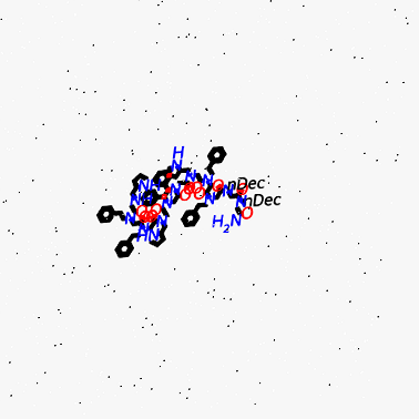 CCCCCCCCCCN(CC(N)=O)C(=O)CN(CCCCCCCCCC)C(=O)CN(CCc1ccccc1)C(=O)CN(CCc1ccccc1)C(=O)CN(CC1CCCN1)C(=O)CN(CCc1ccccc1)C(=O)CN(CCc1ccccc1)C(=O)CN(CC1CCCN1)C(=O)CN(CCc1ccccc1)C(=O)CN(CCc1ccccc1)C(=O)CNCC1CCCN1